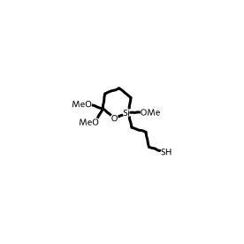 COC1(OC)CCC[Si](CCCS)(OC)O1